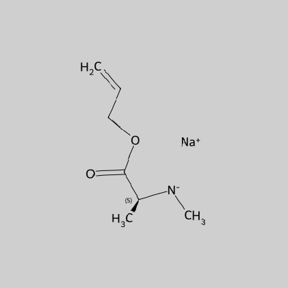 C=CCOC(=O)[C@H](C)[N-]C.[Na+]